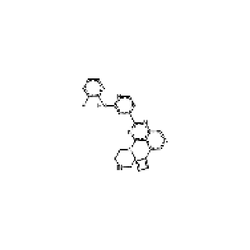 Fc1cccnc1Nc1cc(-c2nc(N3CCNCC3)c3c(C4=CC=C4)cncc3n2)ccn1